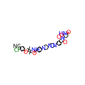 CC1(C)[C@H](NC(=O)c2ccc(N3CCC(N4CCN(c5ccc6c(c5)C(=O)N(C5CCC(=O)NC5=O)C6=O)CC4)CC3)cc2)C(C)(C)[C@H]1Oc1ccc(C#N)c(Cl)c1